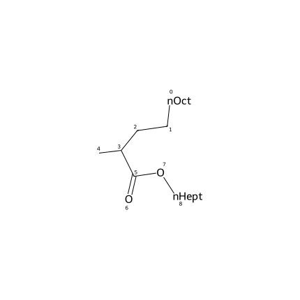 CCCCCCCCCCC(C)C(=O)OCCCCCCC